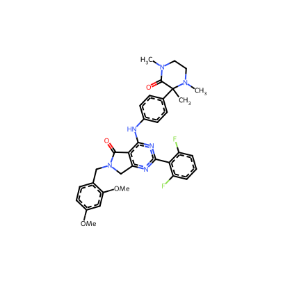 COc1ccc(CN2Cc3nc(-c4c(F)cccc4F)nc(Nc4ccc(C5(C)C(=O)N(C)CCN5C)cc4)c3C2=O)c(OC)c1